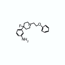 Nc1cccc(C2(F)CCN(CCOc3ccccc3)CC2)c1